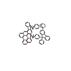 c1ccc(-c2cccc3cccc(-c4ccccc4N(c4ccc(C5(c6ccccc6)c6ccccc6-c6cc(C78CCC(CC7)C8)ccc65)cc4)c4ccc5c6ccccc6n(-c6ccccc6)c5c4)c23)cc1